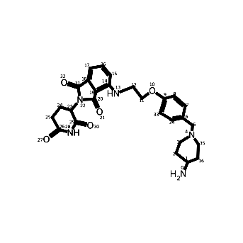 NC1CCN(Cc2ccc(OCCNc3cccc4c3C(=O)N(C3CCC(=O)NC3=O)C4=O)cc2)CC1